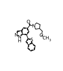 COCC1CCN(C(=O)c2cc(-c3cc4ccccc4s3)c3[nH]ncc3c2)C1